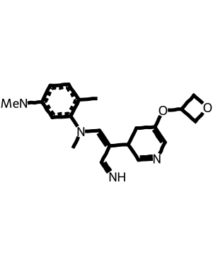 CNc1ccc(C)c(N(C)/C=C(\C=N)C2C=NC=C(OC3COC3)C2)c1